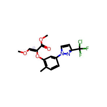 CO/C=C(\Oc1cc(-n2ccc(C(F)(F)Cl)n2)ccc1C)C(=O)OC